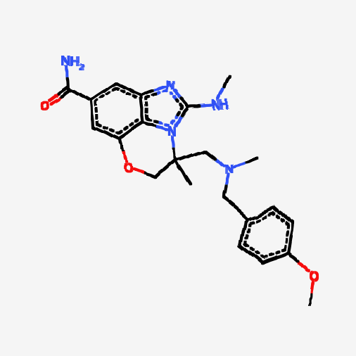 CNc1nc2cc(C(N)=O)cc3c2n1C(C)(CN(C)Cc1ccc(OC)cc1)CO3